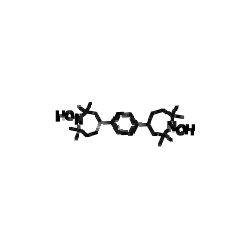 CC1(C)CCC(c2ccc(C3CCC(C)(C)N(O)C(C)(C)C3)cc2)CC(C)(C)N1O